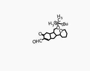 CC(C)(C)[Si](C)(C)OCC1C2CC(=O)C(C=O)=CC2CC1C1CCCCO1